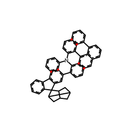 c1ccc(-c2cccc3cccc(-c4ccccc4N(c4ccccc4)c4ccccc4-c4ccc5c(c4)C4(c6ccccc6-5)C5CC6CC5CC64)c23)cc1